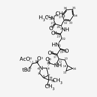 CC(=O)O[C@H](C(=O)N1CC2C([C@H]1C(=O)NC(CC1CC1)C(=O)C(=O)NCC(=O)N[C@H](C(=O)N(C)C)c1ccccc1)C2(C)C)C(C)(C)C